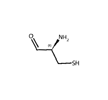 N[C@H](C=O)CS